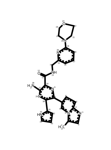 Cc1cnc2ccc(-c3nc(C(=O)NCc4cccc(N5CCOCC5)n4)c(N)nc3-c3ccc[nH]3)cn12